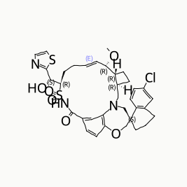 CO[C@H]1/C=C/CC[C@H]([C@H](O)c2nccs2)S(=O)(=O)NC(=O)c2ccc3c(c2)N(C[C@@H]2CC[C@H]21)C[C@@]1(CCCc2cc(Cl)ccc21)CO3